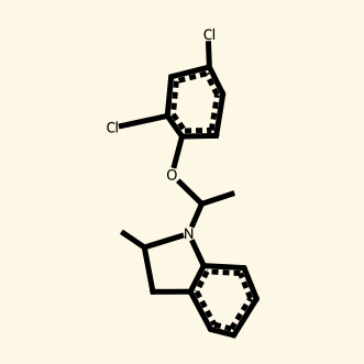 CC1Cc2ccccc2N1C(C)Oc1ccc(Cl)cc1Cl